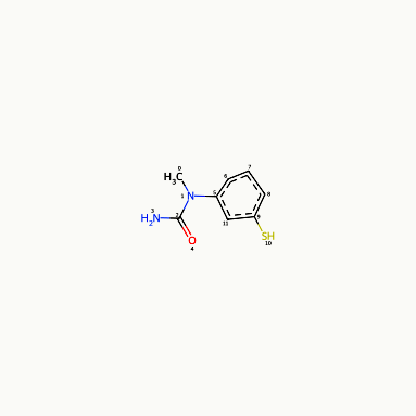 CN(C(N)=O)c1cccc(S)c1